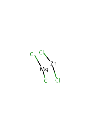 [Cl][Mg][Cl].[Cl][Zn][Cl]